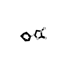 CCN1C[C@@H](c2ccccc2)OC1=O